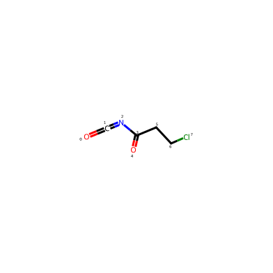 O=C=NC(=O)CCCl